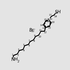 NCCCCCCCCCCCCc1cc[n+](CCS)cc1.[Br-]